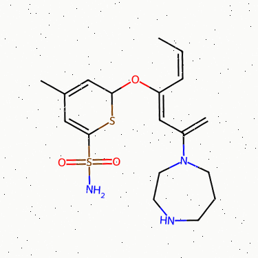 C=C(/C=C(\C=C/C)OC1C=C(C)C=C(S(N)(=O)=O)S1)N1CCCNCC1